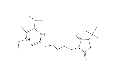 C=C(CCCCCN1C(=C)CC(C(C)(C)C)C1=C)NC(C(=C)NCC)C(C)C